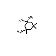 CCCC1(CCC)CC(C)(C)CC(C)(N)C1